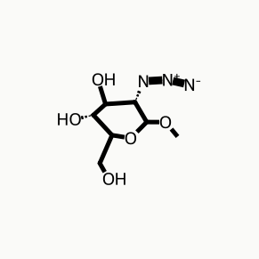 COC1OC(CO)[C@H](O)C(O)[C@@H]1N=[N+]=[N-]